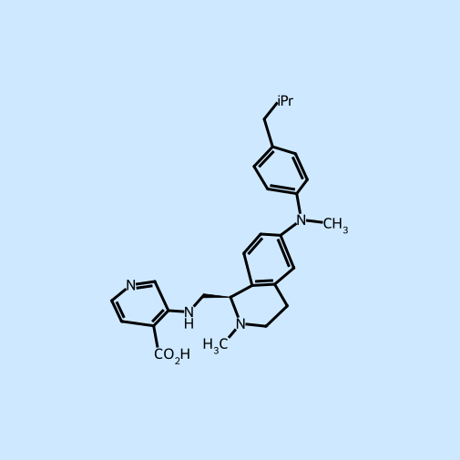 CC(C)Cc1ccc(N(C)c2ccc3c(c2)CCN(C)[C@H]3CNc2cnccc2C(=O)O)cc1